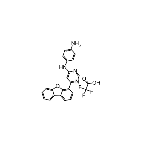 Nc1ccc(Nc2cc(-c3cccc4c3oc3ccccc34)ncn2)cc1.O=C(O)C(F)(F)F